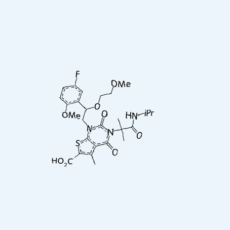 COCCOC(Cn1c(=O)n(C(C)(C)C(=O)NC(C)C)c(=O)c2c(C)c(C(=O)O)sc21)c1cc(F)ccc1OC